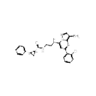 Bc1cnn2c(NCCNC(=O)[C@@H]3C[C@H]3c3ccccc3)cc(-c3ccccc3Cl)nc12